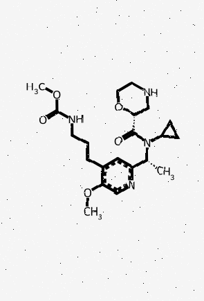 COC(=O)NCCCc1cc([C@@H](C)N(C(=O)[C@H]2CNCCO2)C2CC2)ncc1OC